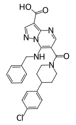 O=C(O)c1cnn2c(NCc3ccccc3)c(C(=O)N3CCC(c4ccc(Cl)cc4)CC3)cnc12